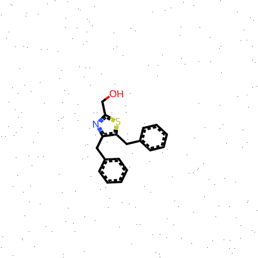 OCc1nc(Cc2ccccc2)c(Cc2ccccc2)s1